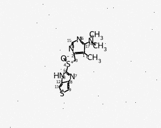 Cc1c(C[S+]([O-])c2nc3cscc3[nH]2)ncnc1N(C)C